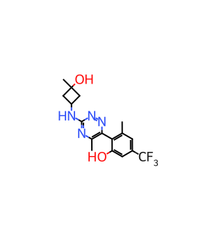 Cc1cc(C(F)(F)F)cc(O)c1-c1nnc(NC2CC(C)(O)C2)nc1C